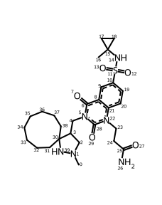 CN1CC(Cn2c(=O)c3cc(S(=O)(=O)NC4(C)CC4)ccc3n(CCC(N)=O)c2=O)C2(CCCCCCCC2)N1